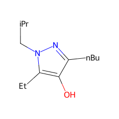 CCCCc1nn(CC(C)C)c(CC)c1O